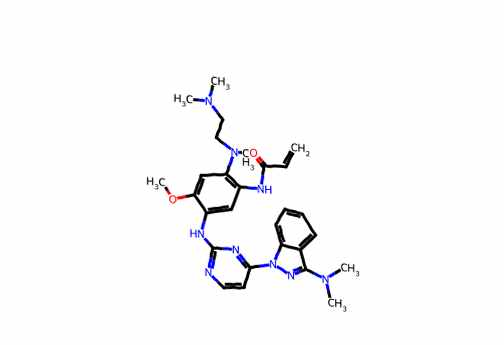 C=CC(=O)Nc1cc(Nc2nccc(-n3nc(N(C)C)c4ccccc43)n2)c(OC)cc1N(C)CCN(C)C